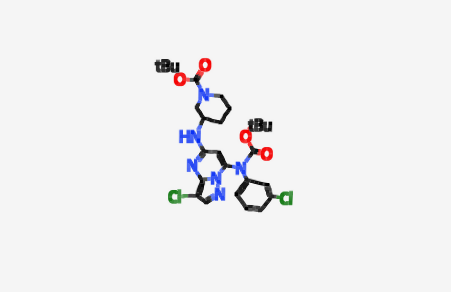 CC(C)(C)OC(=O)N1CCCC(Nc2cc(N(C(=O)OC(C)(C)C)c3cccc(Cl)c3)n3ncc(Cl)c3n2)C1